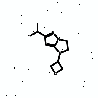 CC(C)c1cc2n(n1)CCN2C1COC1